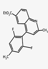 CCOC(=O)c1ccc2nc(C)cc(-c3c(F)cc(C)cc3F)c2c1